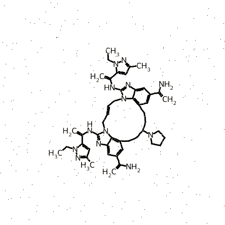 C=C(N)c1cc2c3c(c1)nc(NC(=C)c1cc(C)nn1CC)n3C/C=C/Cn1c(NC(=C)c3cc(C)nn3CC)nc3cc(C(=C)N)cc(c31)CCC(N1CCCC1)CC2